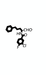 O=[C][C@@H](CCCc1ccccc1)NC(=O)c1ccc(F)c(Cl)c1